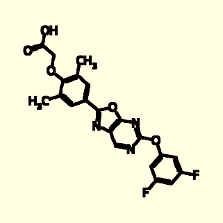 Cc1cc(-c2nc3cnc(Oc4cc(F)cc(F)c4)nc3o2)cc(C)c1OCC(=O)O